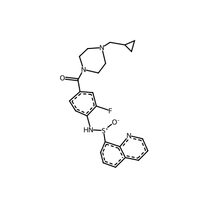 O=C(c1ccc(N[S+]([O-])c2cccc3cccnc23)c(F)c1)N1CCN(CC2CC2)CC1